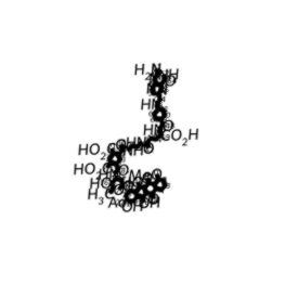 COc1cccc2c1C(=O)c1c(O)c3c(c(O)c1C2=O)C[C@@](O)(C(C)=O)C[C@@H]3O[C@H]1C[C@@H](NC(=O)c2cc(C(=O)NCCNC(=O)CC[C@H](NC(=O)c3ccc(NCc4cnc5nc(N)[nH]c(=O)c5n4)cc3)C(=O)O)c(C(=O)O)cc2C(=O)O)C(O)C(C)O1